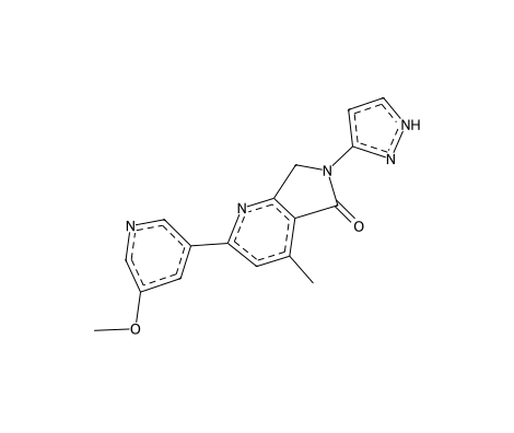 COc1cncc(-c2cc(C)c3c(n2)CN(c2cc[nH]n2)C3=O)c1